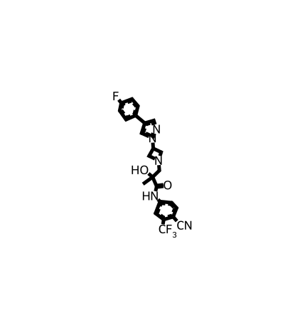 CC(O)(CN1CC(n2cc(-c3ccc(F)cc3)cn2)C1)C(=O)Nc1ccc(C#N)c(C(F)(F)F)c1